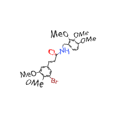 COc1cc(/C=C/C(=O)NCc2ccc(OC)c(OC)c2OC)cc(Br)c1OC